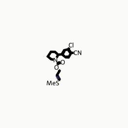 CS/C=C/COC(=O)N1CCCCC1c1ccc(C#N)c(Cl)c1